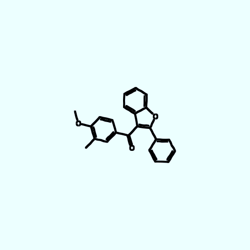 COc1ccc(C(=O)c2c(-c3ccccc3)oc3ccccc23)cc1C